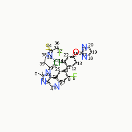 Cc1nc2cnc3cc(F)c(-c4ccc(Oc5ncccn5)cc4Cl)cc3c2n1C1CCN(C(=S)C(C)F)CC1